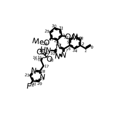 C=Cc1cncc(-c2nnc(NS(=O)(=O)[C@@H](C)Cc3ncc(F)cn3)n2-c2c(OC)cccc2OC)c1